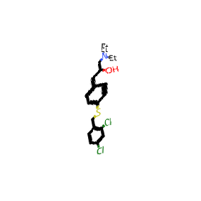 CCN(CC)CC(O)Cc1ccc(SCc2ccc(Cl)cc2Cl)cc1